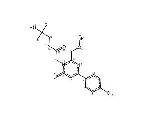 CCCOCc1nc(-c2ccc(Cl)cc2)cc(=O)n1CC(=O)NCC(C)(C)O